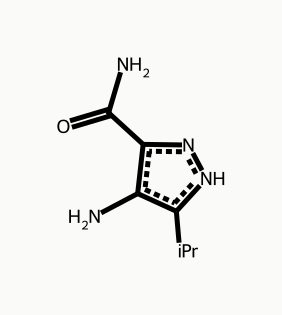 CC(C)c1[nH]nc(C(N)=O)c1N